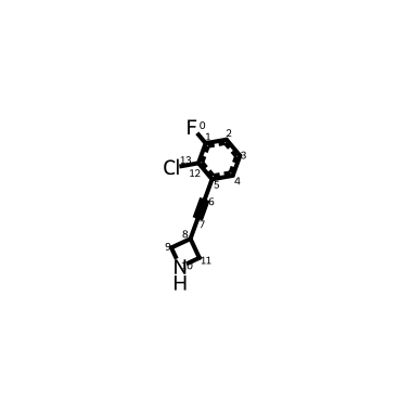 Fc1cccc(C#CC2CNC2)c1Cl